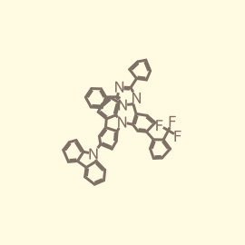 FC(F)(F)c1ccccc1-c1ccc(-c2nc(-c3ccccc3)nc(-c3ccccc3)n2)c(-n2c3ccccc3c3cc(-n4c5ccccc5c5ccccc54)ccc32)c1